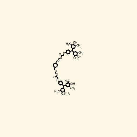 Cc1cc(C(c2ccc(OCC(=O)OCOCC3CCC(COCOC(=O)COc4ccc(C(c5cc(C)c(O)c(C)c5)c5cc(C)c(O)c(C)c5)cc4)CC3)cc2)c2cc(C)c(O)c(C)c2)cc(C)c1O